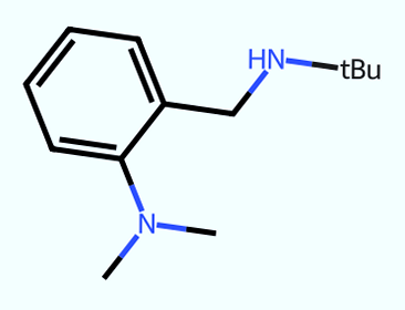 CN(C)c1ccccc1CNC(C)(C)C